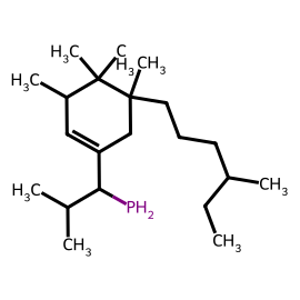 CCC(C)CCCC1(C)CC(C(P)C(C)C)=CC(C)C1(C)C